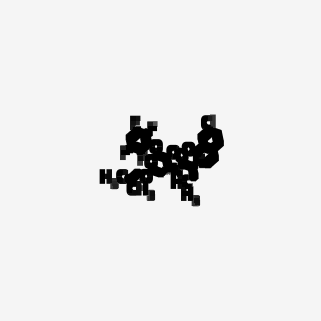 CCC(C(=O)N[C@@H](CC(=O)OCC(C)C)C(=O)COc1c(F)c(F)cc(F)c1F)n1ccc2ccc(Cl)cc2c1=O